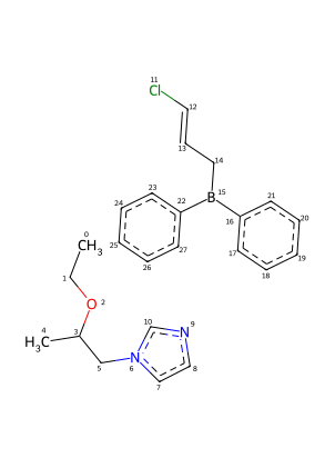 CCOC(C)Cn1ccnc1.ClC=CCB(c1ccccc1)c1ccccc1